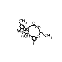 CCCC1CCNC(=O)CCC(=O)N[C@H]([C@H](O)CNC2(c3cccc(CC)c3)CC2)Cc2cc(F)cc(c2)OC1